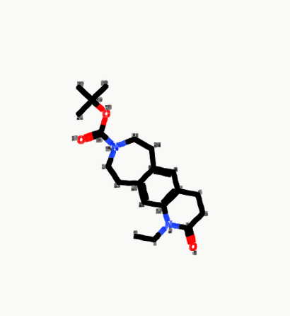 CCN1C(=O)CCc2cc3c(cc21)CCN(C(=O)OC(C)(C)C)CC3